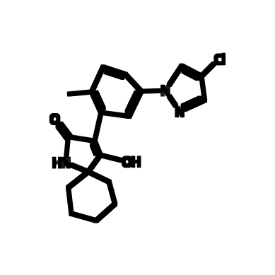 Cc1ccc(-n2cc(Cl)cn2)cc1C1=C(O)C2(CCCCC2)NC1=O